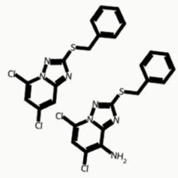 Clc1cc(Cl)n2nc(SCc3ccccc3)nc2c1.Nc1c(Cl)cc(Cl)n2nc(SCc3ccccc3)nc12